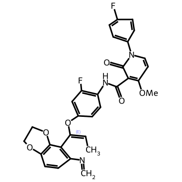 C=Nc1ccc2c(c1/C(=C\C)Oc1ccc(NC(=O)c3c(OC)ccn(-c4ccc(F)cc4)c3=O)c(F)c1)OCCO2